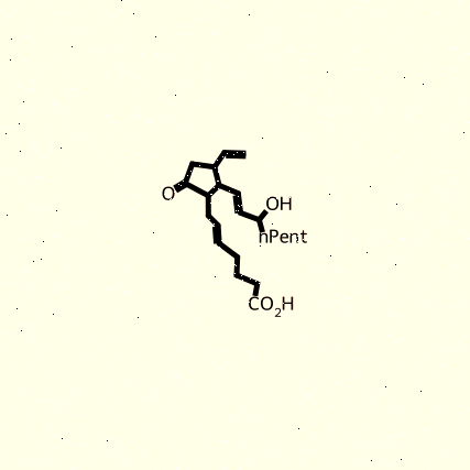 C=CC1CC(=O)C(CC=CCCCC(=O)O)C1C=CC(O)CCCCC